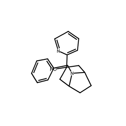 OC1(c2ccccn2)CC2CCC(C1)N2Cc1ccccc1